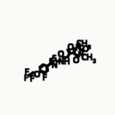 Cn1c(=O)c2c(CC(=O)Nc3nc(-c4ccc(OCC(F)(F)F)c(F)c4)cs3)coc2n(C)c1=O